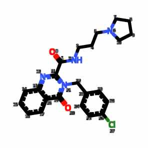 O=C(NCCCN1CCCC1)c1nc2ccccc2c(=O)n1Cc1ccc(Cl)cc1